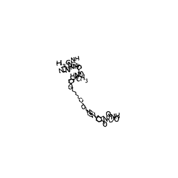 C[C@@H](NC(=O)c1cccc(NCC(=N)N(C)C(=N)c2ccncn2)c1)c1cccc(OCCCCCCOCCOCCN2CCN(c3ccc4c(c3)CN(C3CCC(=O)NC3=O)C4=O)CC2)c1